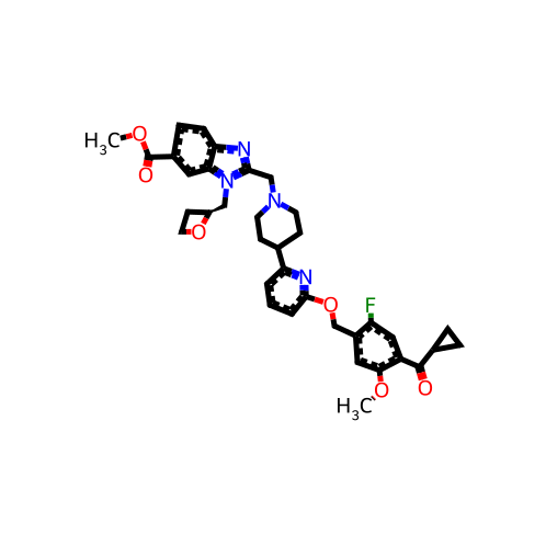 COC(=O)c1ccc2nc(CN3CCC(c4cccc(OCc5cc(OC)c(C(=O)C6CC6)cc5F)n4)CC3)n(C[C@@H]3CCO3)c2c1